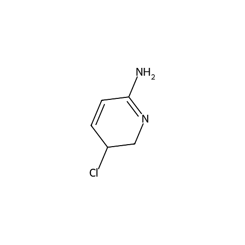 NC1=NCC(Cl)C=C1